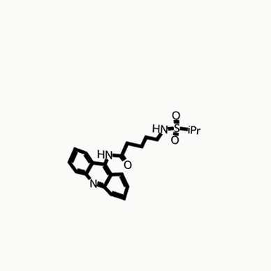 CC(C)S(=O)(=O)NCCCCC(=O)Nc1c2ccccc2nc2ccccc12